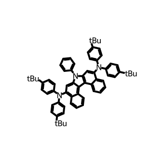 CC(C)(C)c1ccc(N(c2ccc(C(C)(C)C)cc2)c2cc3c(c4ccccc24)c2c4ccccc4c(N(c4ccc(C(C)(C)C)cc4)c4ccc(C(C)(C)C)cc4)cc2n3-c2ccccc2)cc1